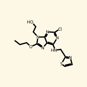 CCCOc1nc2c(NCc3nccs3)nc(Cl)nc2n1CCO